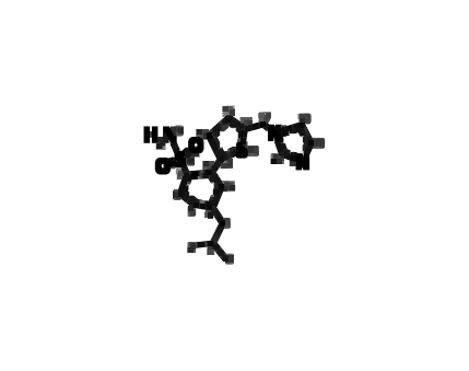 CC(C)Cc1ccc(S(N)(=O)=O)c(-c2ccc(Cn3ccnc3)s2)c1